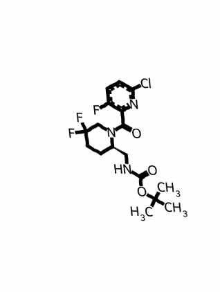 CC(C)(C)OC(=O)NC[C@H]1CCC(F)(F)CN1C(=O)c1nc(Cl)ccc1F